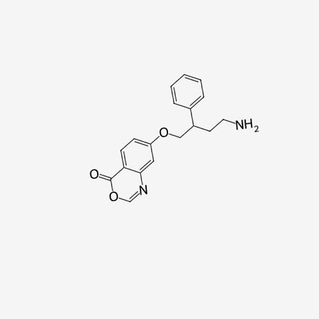 NCCC(COc1ccc2c(=O)ocnc2c1)c1ccccc1